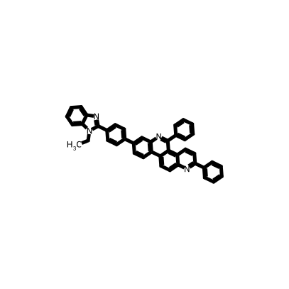 CCn1c(-c2ccc(-c3ccc4c(c3)nc(-c3ccccc3)c3c5ccc(-c6ccccc6)nc5ccc43)cc2)nc2ccccc21